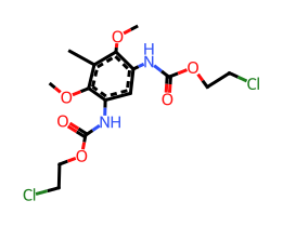 COc1c(NC(=O)OCCCl)cc(NC(=O)OCCCl)c(OC)c1C